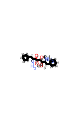 COC(C(=O)[C@@H](N)Cc1ccccc1)C(OC)C(=O)[C@@H](N)Cc1ccccc1